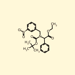 CCOC(=O)C(c1ccccc1)N(Cc1cccc([N+](=O)[O-])c1)C(=O)OC(C)(C)C